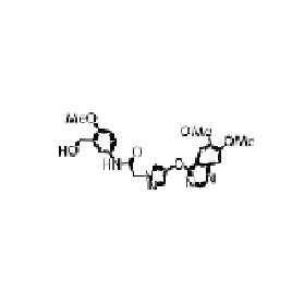 COc1ccc(NC(=O)Cn2cc(Oc3ncnc4cc(OC)c(OC)cc34)cn2)cc1CO